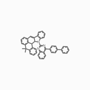 CC1(C)c2ccccc2C2c3c(cccc31)C=C1c3ccccc3N(c3nc(-c4ccc(-c5ccccc5)cc4)c4ccccc4n3)C12